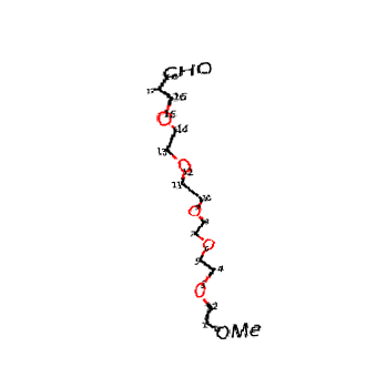 COCCOCCOCCOCCOCCOCCC=O